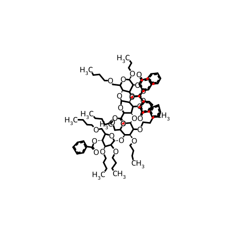 CCCCOCC1O[C@@H](OCCC)[C@@H](OC(=O)c2ccccc2)C(OC(=O)c2ccccc2)[C@@H]1O[C@@H]1OC(C(=O)OC)[C@@H](O[C@H]2OC(COCCCC)[C@H](O[C@H]3OC(COCCCC)[C@@H](OC(=O)c4ccccc4)[C@H](OCCCC)C3OCCCC)[C@H](OCCCC)C2OCCCC)C(OC(=O)c2ccccc2)[C@@H]1OC(=O)c1ccccc1